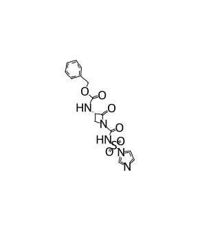 O=C(N[C@H]1CN(C(=O)NS(=O)(=O)n2ccnc2)C1=O)OCc1ccccc1